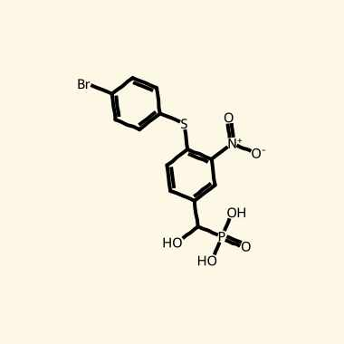 O=[N+]([O-])c1cc(C(O)P(=O)(O)O)ccc1Sc1ccc(Br)cc1